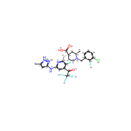 Cc1cc(Nc2cc(C(=O)C(F)(F)F)c(F)c(C[C@@]3(C(=O)O)CCN(Cc4cccc(Cl)c4F)[C@H](C)C3)n2)n[nH]1